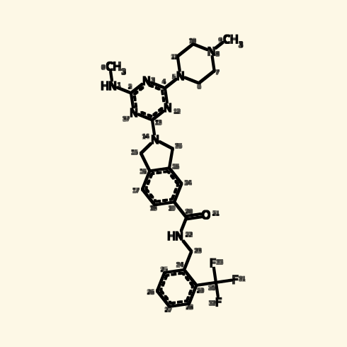 CNc1nc(N2CCN(C)CC2)nc(N2Cc3ccc(C(=O)NCc4ccccc4C(F)(F)F)cc3C2)n1